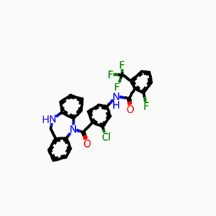 O=C(Nc1ccc(C(=O)N2c3ccccc3CNc3ccccc32)c(Cl)c1)c1c(F)cccc1C(F)(F)F